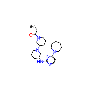 CC(C)CC(=O)N1CCCC(N2CCCC(Nc3nccc(N4CCCCCC4)n3)C2)C1